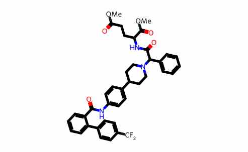 COC(=O)CCC(NC(=O)C(c1ccccc1)N1CCC(c2ccc(NC(=O)c3ccccc3-c3ccc(C(F)(F)F)cc3)cc2)CC1)C(=O)OC